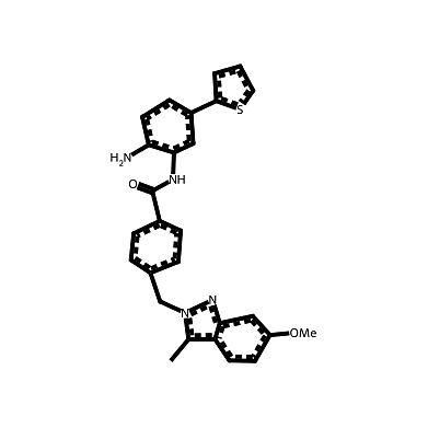 COc1ccc2c(C)n(Cc3ccc(C(=O)Nc4cc(-c5cccs5)ccc4N)cc3)nc2c1